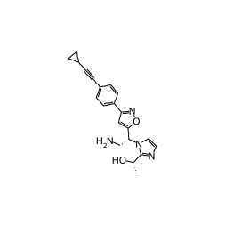 C[C@H](O)c1nccn1[C@H](CN)c1cc(-c2ccc(C#CC3CC3)cc2)no1